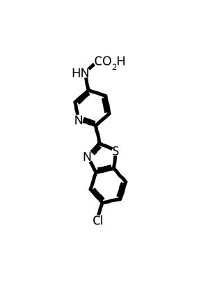 O=C(O)Nc1ccc(-c2nc3cc(Cl)ccc3s2)nc1